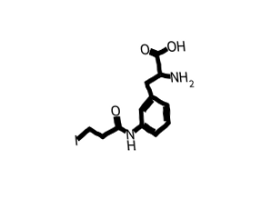 NC(Cc1cccc(NC(=O)CCI)c1)C(=O)O